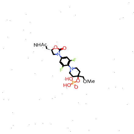 COCC1(OP(=O)(O)O)CCN(c2c(F)cc(N3C[C@H](CNC(C)=O)OC3=O)cc2F)CC1